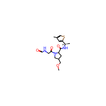 COCC1CC(C(=O)N[C@H](C)c2cc(C)cs2)N(C(=O)CNC=O)C1